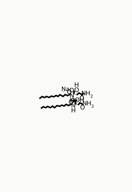 CCCCCCCCCCCCCC(=O)N[C@@H](CCC(N)=O)C(=O)O.CCCCCCCCCCCCCC(=O)N[C@@H](CCC(N)=O)C(=O)O.[Na]